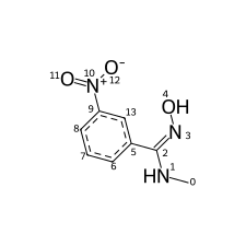 CN/C(=N/O)c1cccc([N+](=O)[O-])c1